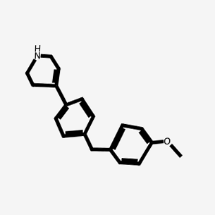 COc1ccc(Cc2ccc(C3=CCNCC3)cc2)cc1